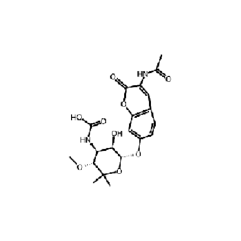 CO[C@@H]1[C@@H](NC(=O)O)[C@@H](O)[C@H](Oc2ccc3cc(NC(C)=O)c(=O)oc3c2)OC1(C)C